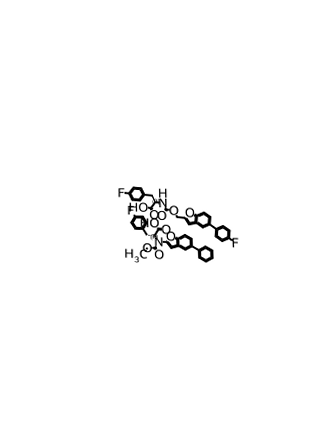 COC(=O)N(c1cc2cc(-c3ccccc3)ccc2o1)[C@H](Cc1ccc(F)cc1)C(=O)O.O=C(N[C@H](Cc1ccc(F)cc1)C(=O)O)OCc1cc2cc(-c3ccc(F)cc3)ccc2o1